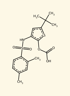 Cc1ccc(S(=O)(=O)Nc2cc(C(C)(C)C)sc2OC(=O)O)c(C)c1